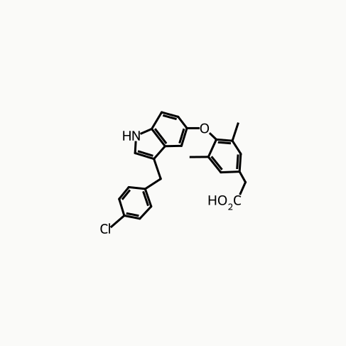 Cc1cc(CC(=O)O)cc(C)c1Oc1ccc2[nH]cc(Cc3ccc(Cl)cc3)c2c1